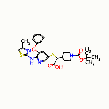 Cc1csc(Nc2ncc(SC(C(=O)O)C3CCN(C(=O)OC(C)(C)C)CC3)cc2Oc2ccccc2)n1